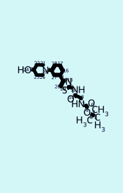 CC(C)(C)OC(=O)NCC(=O)Nc1nc(-c2cccc(N3CCC(O)CC3)c2)cs1